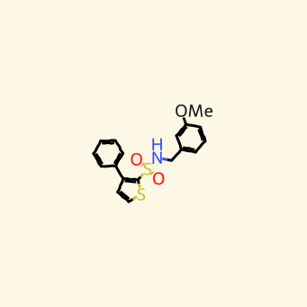 COc1cccc(CNS(=O)(=O)c2sccc2-c2ccccc2)c1